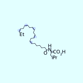 CC/C=C\C/C=C\C/C=C\C/C=C\C/C=C\CCCCCC(=O)N[C@@H](CC(C)C)C(=O)O